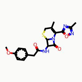 COc1ccc(CC(=O)NC2C(=O)N3C(c4nc(C)no4)=C(C)CSC23)cc1